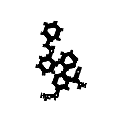 COc1ccc(-c2ccccc2-c2ccccc2OCc2ccccc2)c(C(=O)O)c1